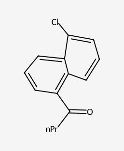 CCCC(=O)c1cccc2c(Cl)cccc12